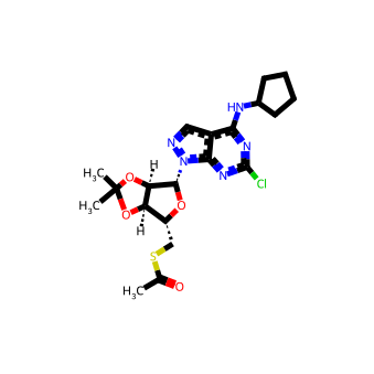 CC(=O)SC[C@H]1O[C@@H](n2ncc3c(NC4CCCC4)nc(Cl)nc32)[C@@H]2OC(C)(C)O[C@@H]21